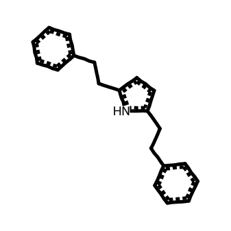 c1ccc(CCc2ccc(CCc3ccccc3)[nH]2)cc1